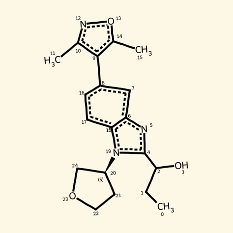 CCC(O)c1nc2cc(-c3c(C)noc3C)ccc2n1[C@H]1CCOC1